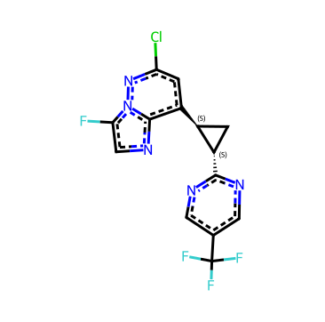 Fc1cnc2c([C@H]3C[C@@H]3c3ncc(C(F)(F)F)cn3)cc(Cl)nn12